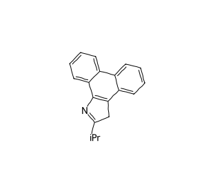 CC(C)C1=Nc2c(c3ccccc3c3ccccc23)C1